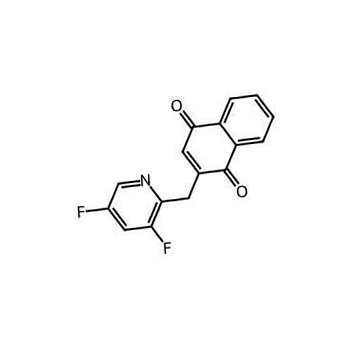 O=C1C=C(Cc2ncc(F)cc2F)C(=O)c2ccccc21